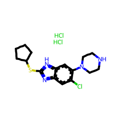 Cl.Cl.Clc1cc2nc(SC3CCCC3)[nH]c2cc1N1CCNCC1